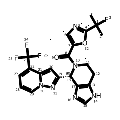 CC(C)(F)c1ncc(C(=O)N2CCc3[nH]cnc3[C@@H]2c2cc3c(C(F)(F)F)cccn3n2)o1